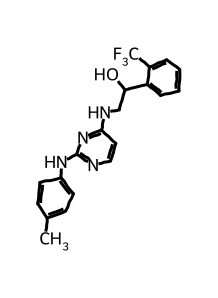 Cc1ccc(Nc2nccc(NCC(O)c3ccccc3C(F)(F)F)n2)cc1